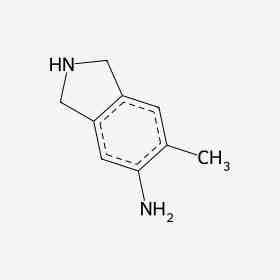 Cc1cc2c(cc1N)CNC2